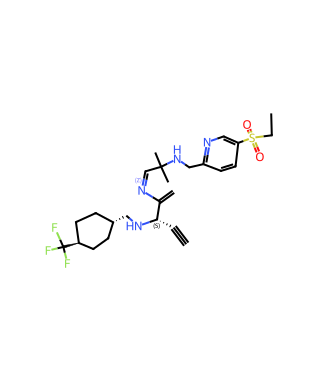 C#C[C@H](NC[C@H]1CC[C@H](C(F)(F)F)CC1)C(=C)/N=C\C(C)(C)NCc1ccc(S(=O)(=O)CC)cn1